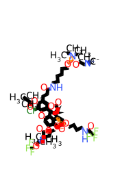 [C-]#[N+]CCOP(OCCCCCCNC(=O)CCc1cc2c(c(Cl)c1OC(=O)C(C)(C)C)Oc1cc(OC(=O)C(C)(C)C)c3ccccc3c1C21OC(=O)c2ccc(P(=O)(OCCCC/N=C/OC(F)(F)F)OCCCCNC(=O)C(F)(F)F)cc21)N(C(C)C)C(C)C